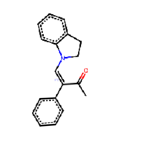 CC(=O)/C(=C\N1CCc2ccccc21)c1ccccc1